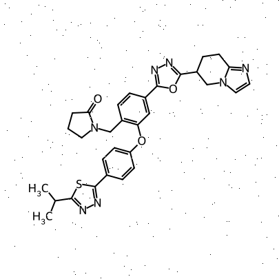 CC(C)c1nnc(-c2ccc(Oc3cc(-c4nnc(C5CCc6nccn6C5)o4)ccc3CN3CCCC3=O)cc2)s1